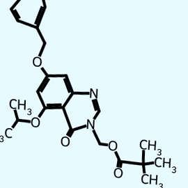 CC(C)Oc1cc(OCc2ccccc2)cc2ncn(COC(=O)C(C)(C)C)c(=O)c12